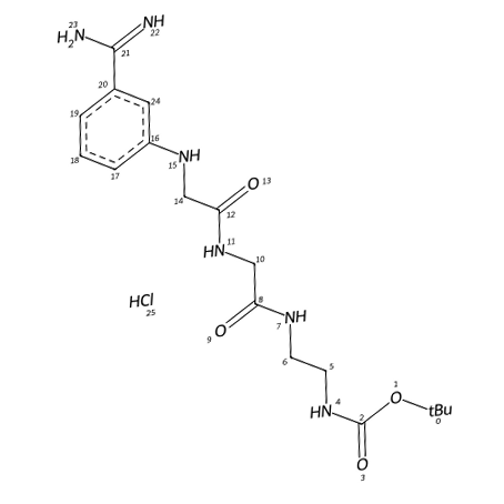 CC(C)(C)OC(=O)NCCNC(=O)CNC(=O)CNc1cccc(C(=N)N)c1.Cl